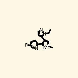 CCn1nccc1-c1cn(C)nc1-c1ccc(F)cn1